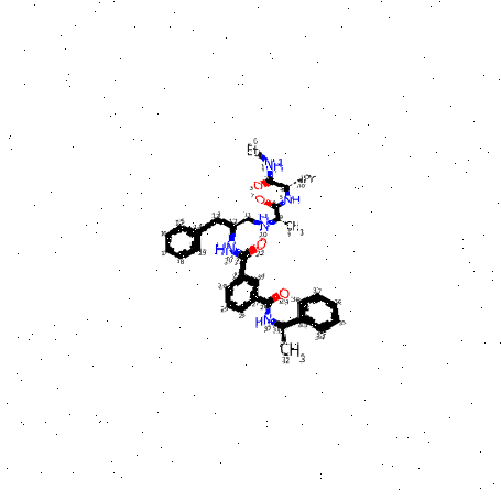 CCNC(=O)[C@@H](NC(=O)[C@H](C)NC[C@H](Cc1ccccc1)NC(=O)c1cccc(C(=O)N[C@H](C)c2ccccc2)c1)C(C)C